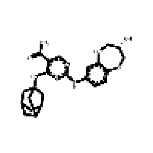 NC(=O)c1cnc(Nc2ccc3c(c2)NC[C@H](O)CO3)nc1NC12CC3CC(C1)C(C3)C2